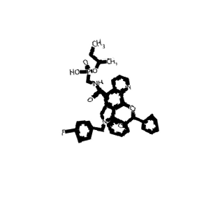 CCC(C)OP(=O)(O)CNC(=O)c1c2c(c(OC(c3ccccc3)c3ccccc3)c3ncccc13)C(=O)N(Cc1ccc(F)cc1)C2